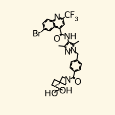 Cc1nn(Cc2ccc(C(=O)N3CC4(CCS4(O)O)C3)cc2)c(C)c1NC(=O)c1cc(C(F)(F)F)nc2ccc(Br)cc12